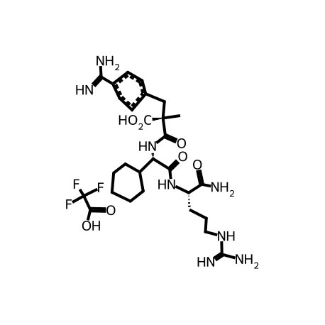 C[C@](Cc1ccc(C(=N)N)cc1)(C(=O)O)C(=O)N[C@H](C(=O)N[C@@H](CCCNC(=N)N)C(N)=O)C1CCCCC1.O=C(O)C(F)(F)F